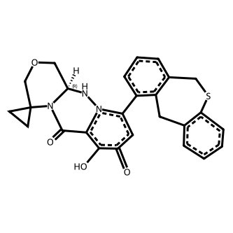 O=C1c2c(O)c(=O)cc(-c3cccc4c3Cc3ccccc3SC4)n2N[C@@H]2COCC3(CC3)N12